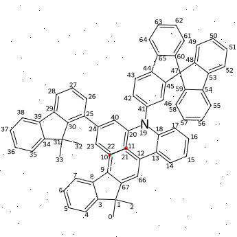 CC1(C)c2ccccc2-c2ccc(-c3ccccc3N(c3cccc(-c4cccc5c4C(C)(C)c4ccccc4-5)c3)c3ccc4c(c3)C3(c5ccccc5-c5ccccc53)c3ccccc3-4)cc21